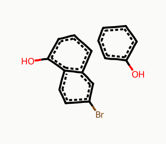 Oc1cccc2cc(Br)ccc12.Oc1ccccc1